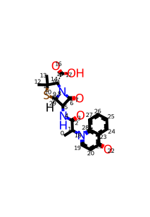 CC(C(=O)NC1C(=O)N2[C@@H]1SC(C)(C)[C@@H]2C(=O)O)n1ccc(=O)c2ccccc21